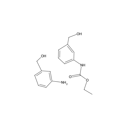 CCOC(=O)Nc1cccc(CO)c1.Nc1cccc(CO)c1